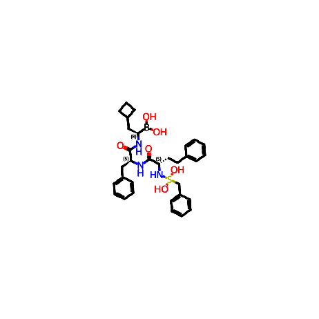 O=C(N[C@@H](CC1CCC1)B(O)O)[C@H](Cc1ccccc1)NC(=O)[C@H](CCc1ccccc1)NS(O)(O)Cc1ccccc1